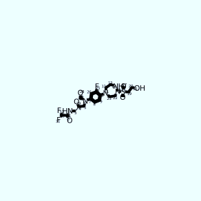 O=C(NC[C@H]1CN(c2ccc(N3CCNN(S(=O)(=O)CCO)CC3)c(F)c2)C(=O)O1)C(F)F